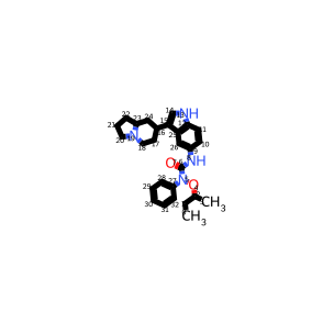 CCC(C)ON(C(=O)Nc1ccc2[nH]cc(C3CCN4CCCC4C3)c2c1)c1ccccc1